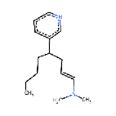 CCCCC(CC=CN(C)C)c1cccnc1